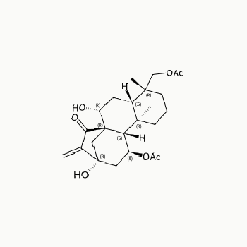 C=C1C(=O)[C@]23C[C@@]1(O)C[C@H](OC(C)=O)[C@H]2[C@]1(C)CCC[C@@](C)(COC(C)=O)[C@H]1C[C@H]3O